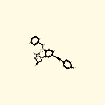 O=C1CN(c2cc(C#Cc3ccc(F)cc3)ccc2OCc2ccccc2)S(=O)(=O)N1